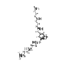 CN(C)CCCNCCCNCc1cccc(CNCCCNCCCN(C)C)c1.Cl